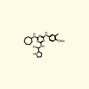 CCC(Nc1nc(Nc2ccc(OC)c(I)c2)nc(NC2CCCCCC2)n1)C1CCCN1